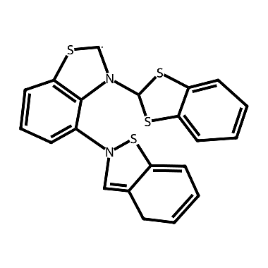 [CH]1Sc2cccc(N3C=C4CC=CC=C4S3)c2N1C1Sc2ccccc2S1